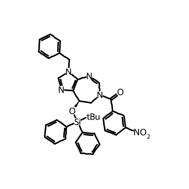 CC(C)(C)[Si](O[C@@H]1CN(C(=O)c2cccc([N+](=O)[O-])c2)C=Nc2c1ncn2Cc1ccccc1)(c1ccccc1)c1ccccc1